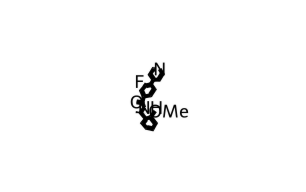 COc1ccccc1[C@@H](C)NC(=O)c1ccc(-c2ccncc2)c(F)c1